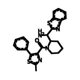 Cc1nc(C(=O)N2CCCCC2C(N)c2nc3ccccc3s2)c(-c2ccccc2)s1